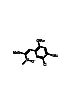 COc1cc(C(C)(C)C)c(Cl)cc1C=C(SC)[S+](C)[O-]